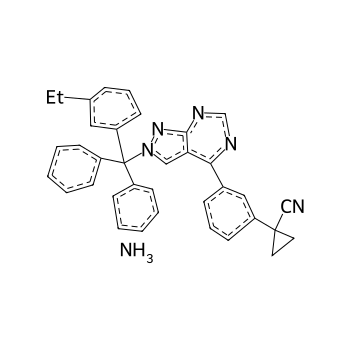 CCc1cccc(C(c2ccccc2)(c2ccccc2)n2cc3c(-c4cccc(C5(C#N)CC5)c4)ncnc3n2)c1.N